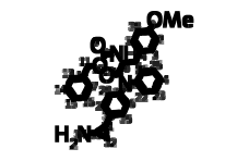 COc1ccc(CC(NC(=O)OCc2ccccc2)C(=O)N(c2ccccc2)c2ccc(C3CC3N)cc2)cc1